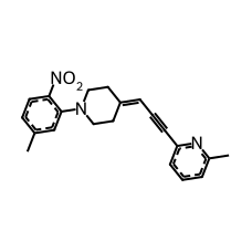 Cc1ccc([N+](=O)[O-])c(N2CCC(=CC#Cc3cccc(C)n3)CC2)c1